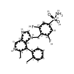 Cc1ccccc1-c1c(C)ncc2ncn(Cc3c(F)cc(S(N)(=O)=O)cc3F)c12